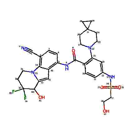 N#Cc1ccc(NC(=O)c2ccc(NS(=O)(=O)CCO)cc2N2CCC3(CC2)CC3)c2cc3n(c12)CCC(F)(F)C3O